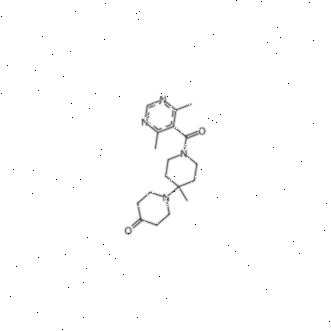 Cc1ncnc(C)c1C(=O)N1CCC(C)(N2CCC(=O)CC2)CC1